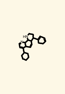 C1=CCCC(C2CCNC3C2C=CC2C(C4CCCCC4)=CC=NC23)=C1